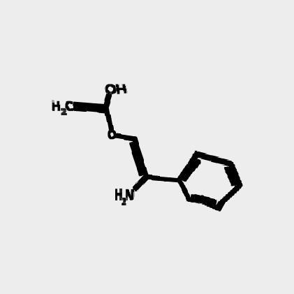 C=C(O)O/C=C(\N)c1ccccc1